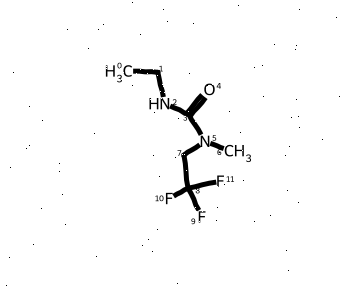 CCNC(=O)N(C)CC(F)(F)F